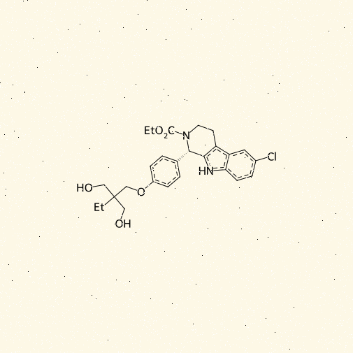 CCOC(=O)N1CCc2c([nH]c3ccc(Cl)cc23)[C@@H]1c1ccc(OCC(CC)(CO)CO)cc1